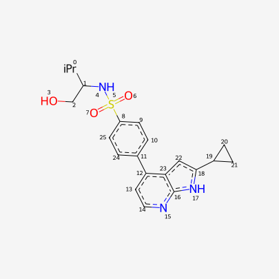 CC(C)C(CO)NS(=O)(=O)c1ccc(-c2ccnc3[nH]c(C4CC4)cc23)cc1